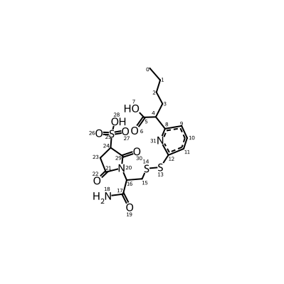 CCCCC(C(=O)O)c1cccc(SSCC(C(N)=O)N2C(=O)CC(S(=O)(=O)O)C2=O)n1